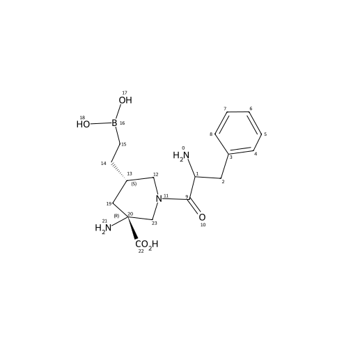 NC(Cc1ccccc1)C(=O)N1C[C@@H](CCB(O)O)C[C@](N)(C(=O)O)C1